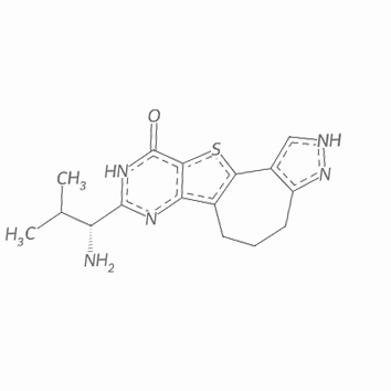 CC(C)[C@@H](N)c1nc2c3c(sc2c(=O)[nH]1)-c1c[nH]nc1CCC3